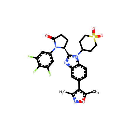 Cc1noc(C)c1-c1ccc2c(c1)nc([C@@H]1CCC(=O)N1c1cc(F)c(F)c(F)c1)n2C1CCS(=O)(=O)CC1